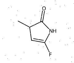 CC1C=C(F)NC1=O